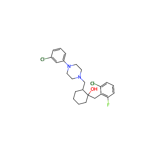 OC1(Cc2c(F)cccc2Cl)CCCCC1CN1CCN(c2cccc(Cl)c2)CC1